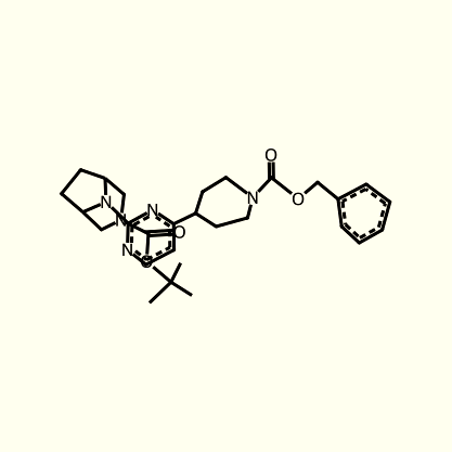 CC(C)(C)OC(=O)N1CC2CCC(C1)N2c1nccc(C2CCN(C(=O)OCc3ccccc3)CC2)n1